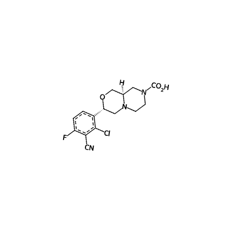 N#Cc1c(F)ccc([C@H]2CN3CCN(C(=O)O)C[C@@H]3CO2)c1Cl